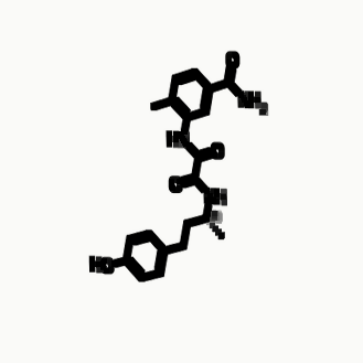 Cc1ccc(C(N)=O)cc1NC(=O)C(=O)N[C@H](C)CCc1ccc(O)cc1